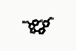 CNc1nc2nnc(-c3cccc(-c4ccc(C(C)(C)C)cn4)c3)n2c2cc(Cl)ccc12